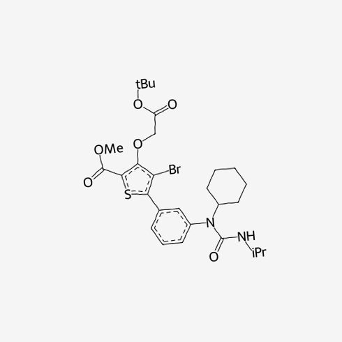 COC(=O)c1sc(-c2cccc(N(C(=O)NC(C)C)C3CCCCC3)c2)c(Br)c1OCC(=O)OC(C)(C)C